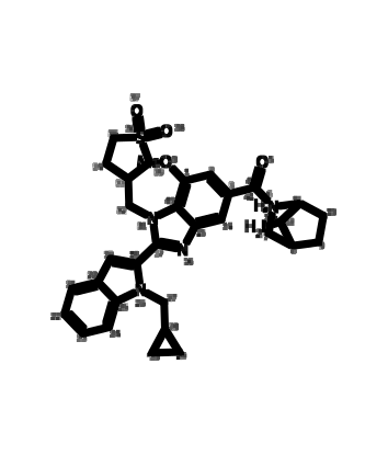 COc1cc(C(=O)N2CC3CCC2[C@@H]3N)cc2nc(-c3cc4ccccc4n3CC3CC3)n(CC3CCS(=O)(=O)C3)c12